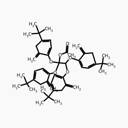 C=C1CC(C(C)(C)C)=CC=C1OC(OC1=CC=C(C(C)(C)C)CC1=C)C(OC(C)=O)(OC1=CC=C(C(C)(C)C)CC1=C)OC1=CC=C(C(C)(C)C)CC1=C